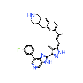 C=C\C(=C/C(=C\C)C(/C)=C/C=c1/[nH]nc(-c2nc3c(-c4cccc(F)c4)cncc3[nH]2)c1=C)CC1CCNCC1